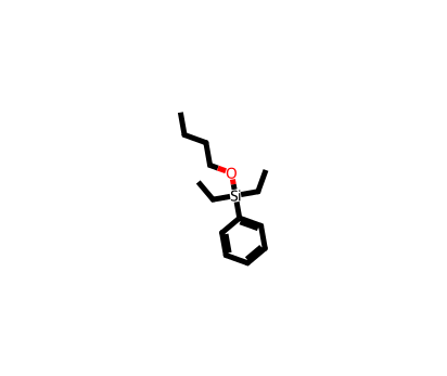 CCCCO[Si](CC)(CC)c1ccccc1